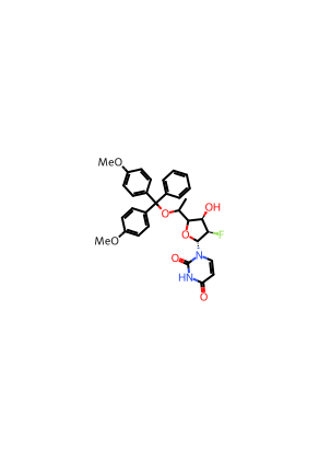 COc1ccc(C(OC(C)C2O[C@@H](n3ccc(=O)[nH]c3=O)[C@H](F)[C@@H]2O)(c2ccccc2)c2ccc(OC)cc2)cc1